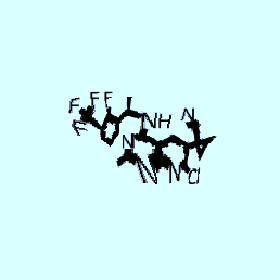 Cc1nc(N[C@H](C)c2cccc(C(F)(F)F)c2F)c2cc(C3(C#N)CC3)c(Cl)nc2n1